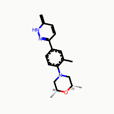 C=C1C=CC(c2ccc(N3C[C@@H](C)O[C@@H](C)C3)c(C)c2)=NN1